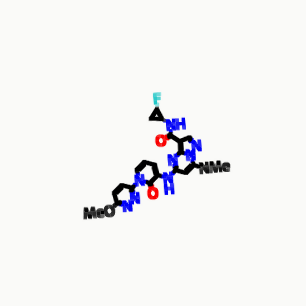 CNc1cc(Nc2cccn(-c3ccc(OC)nn3)c2=O)nc2c(C(=O)N[C@@H]3C[C@@H]3F)cnn12